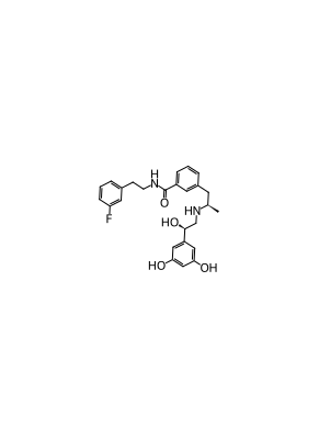 C[C@H](Cc1cccc(C(=O)NCCc2cccc(F)c2)c1)NC[C@H](O)c1cc(O)cc(O)c1